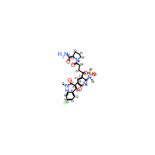 CNC(=O)c1c(-c2ccc(F)cc2)oc2nc(N(C)S(C)(=O)=O)c(CCCC(=O)N3CCCC3C(N)=O)cc12